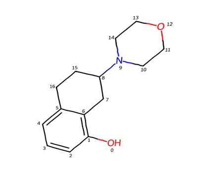 Oc1cccc2c1CC(N1CCOCC1)CC2